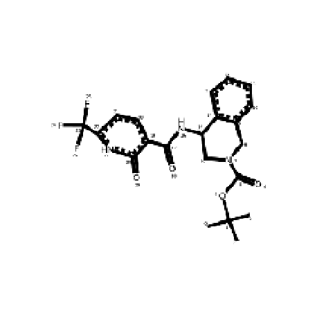 CC(C)(C)OC(=O)N1Cc2ccccc2C(NC(=O)c2ccc(C(F)(F)F)[nH]c2=O)C1